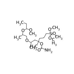 CCC(OC)OC(C)COC(C)CC(C)(CCC[Si](OC)(OC)OC)OC(N)=O